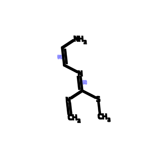 C=N/C(=N\C=C/N)SC